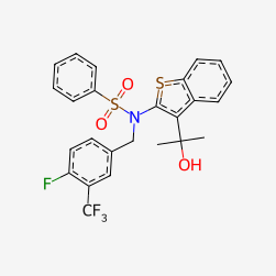 CC(C)(O)c1c(N(Cc2ccc(F)c(C(F)(F)F)c2)S(=O)(=O)c2ccccc2)sc2ccccc12